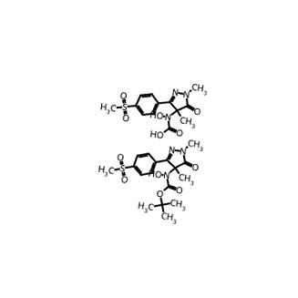 CN1N=C(c2ccc(S(C)(=O)=O)cc2)C(C)(N(O)C(=O)O)C1=O.CN1N=C(c2ccc(S(C)(=O)=O)cc2)C(C)(N(O)C(=O)OC(C)(C)C)C1=O